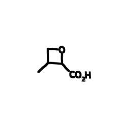 CC1COC1C(=O)O